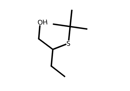 CCC(CO)SC(C)(C)C